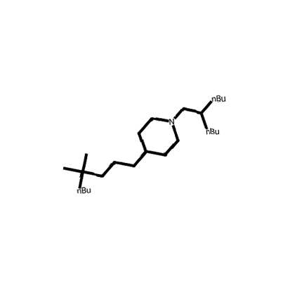 CCCCC(CCCC)CN1CCC(CCCC(C)(C)CCCC)CC1